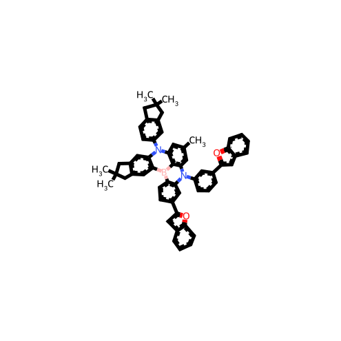 Cc1cc2c3c(c1)N(c1ccc4c(c1)CC(C)(C)C4)c1cc4c(cc1B3c1ccc(-c3cc5ccccc5o3)cc1N2c1cccc(-c2cc3ccccc3o2)c1)CC(C)(C)C4